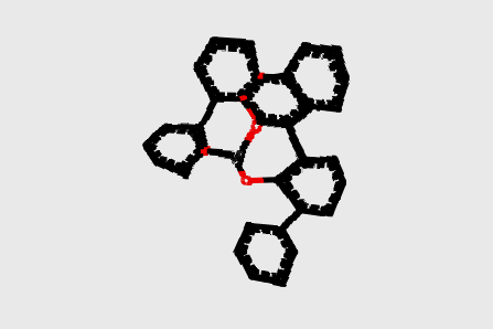 CC(C)[CH2][Al]([O]c1c(-c2ccccc2)cccc1-c1ccccc1)[O]c1c(-c2ccccc2)cccc1-c1ccccc1